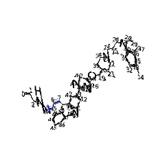 C=CCN/N=C(\C=C/Cc1cccc(-c2ncc(OCC3CCN(CCCN(CC)c4ccc(C)cc4C)CC3)cn2)c1)c1cccc(C#N)c1